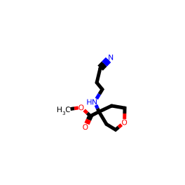 COC(=O)C1(NCCC#N)CCOCC1